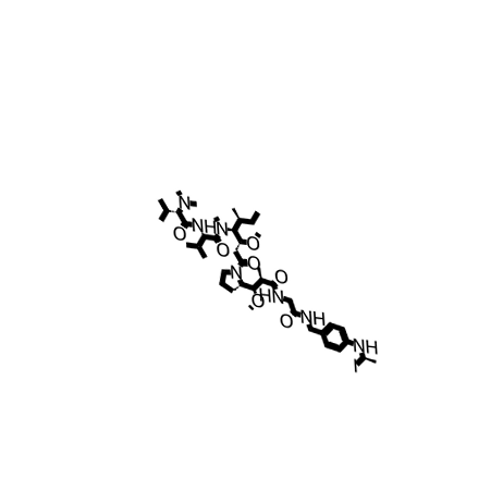 CC[C@H](C)[C@@H]([C@@H](CC(=O)N1CCC[C@H]1[C@H](OC)[C@@H](C)C(=O)NCC(=O)NCc1ccc(N[C@@H](C)I)cc1)OC)N(C)C(=O)[C@@H](NC(=O)[C@H](C(C)C)N(C)C)C(C)C